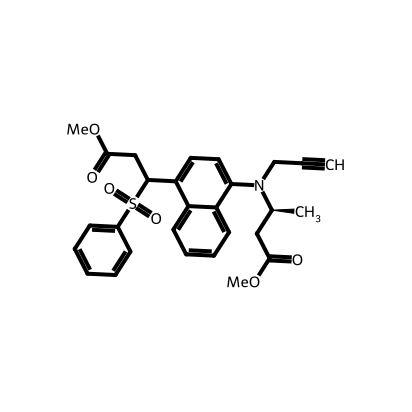 C#CCN(c1ccc(C(CC(=O)OC)S(=O)(=O)c2ccccc2)c2ccccc12)[C@@H](C)CC(=O)OC